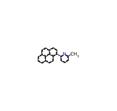 Cc1cccc(-c2ccc3ccc4cccc5ccc2c3c45)n1